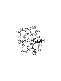 O=C(c1ccccc1)C(O)c1ccccc1.O=C1C=CC(O)(CCc2ccccc2)C=C1